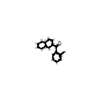 Cc1ccccc1C(=O)c1ccc2ccccc2c1